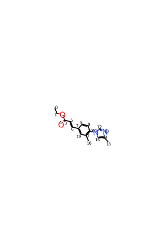 CCOC(=O)/C=C/c1ccc(-n2cnc(C)c2)c(C)c1